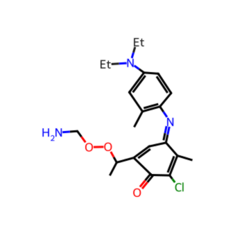 CCN(CC)c1ccc(N=C2C=C(C(C)OOCN)C(=O)C(Cl)=C2C)c(C)c1